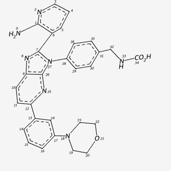 Nc1ncccc1-c1nc2ccc(-c3cccc(N4CCOCC4)c3)nc2n1-c1ccc(CNC(=O)O)cc1